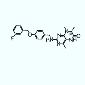 Cc1nc(NCc2ccc(OCc3cccc(F)c3)cc2)nc2c1NC(=O)[C@H](C)N2C